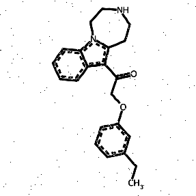 CCc1cccc(OCC(=O)c2c3n(c4ccccc24)CCNCC3)c1